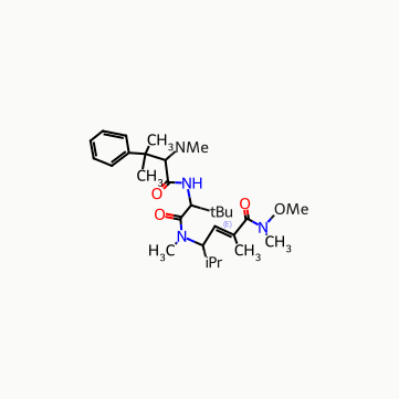 CNC(C(=O)NC(C(=O)N(C)C(/C=C(\C)C(=O)N(C)OC)C(C)C)C(C)(C)C)C(C)(C)c1ccccc1